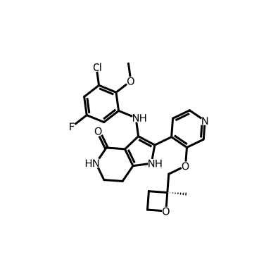 COc1c(Cl)cc(F)cc1Nc1c(-c2ccncc2OC[C@]2(C)CCO2)[nH]c2c1C(=O)NCC2